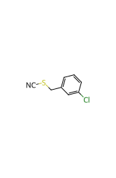 N#CSCc1cccc(Cl)c1